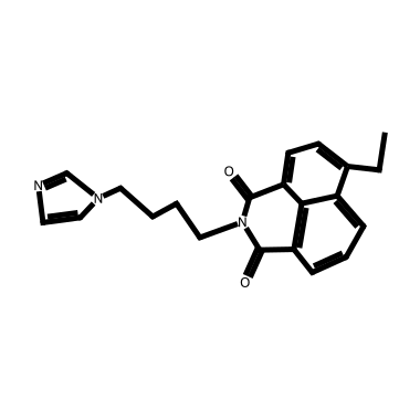 CCc1ccc2c3c(cccc13)C(=O)N(CCCCn1ccnc1)C2=O